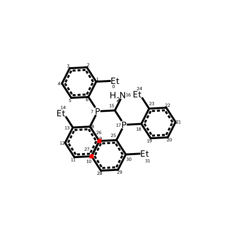 CCc1ccccc1P(c1ccccc1CC)C(N)P(c1ccccc1CC)c1ccccc1CC